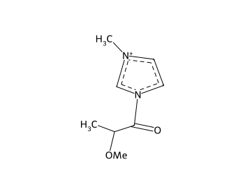 COC(C)C(=O)n1cc[n+](C)c1